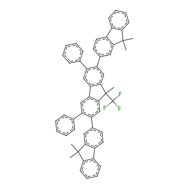 CC1(C)c2ccccc2-c2ccc(-c3cc4c(cc3-c3ccccc3)-c3cc(-c5ccccc5)c(-c5ccc6c(c5)C(C)(C)c5ccccc5-6)cc3C4(C)C(F)(F)F)cc21